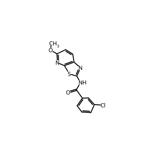 COc1ccc2nc(NC(=O)c3cccc(Cl)c3)sc2n1